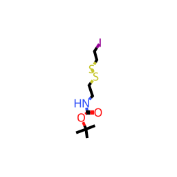 CC(C)(C)OC(=O)NCCSSCCI